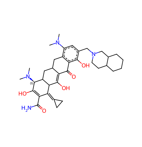 CN(C)c1cc(CN2CCC3CCCCC3C2)c(O)c2c1CC1CC3C(C(O)=C1C2=O)C(=C1CC1)C(C(N)=O)=C(O)[C@H]3N(C)C